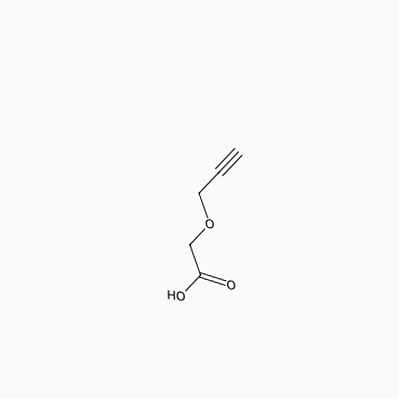 C#CCOCC(=O)O